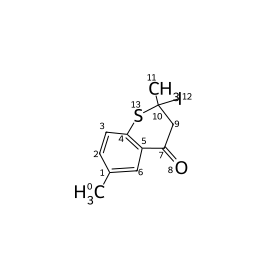 Cc1ccc2c(c1)C(=O)CC(C)(I)S2